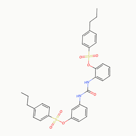 CCCc1ccc(S(=O)(=O)Oc2cccc(NC(=O)Nc3ccccc3OS(=O)(=O)c3ccc(CCC)cc3)c2)cc1